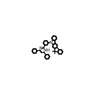 CC1(C)c2ccccc2-c2cc3c4ccccc4n(-c4cccc(C5=NC(c6ccccc6)=CC(c6ccccc6)N5)c4)c3cc21